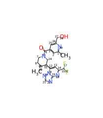 Cc1cc(C(=O)N2CC[C@@H](C)[C@H](c3cc(C(F)F)nc4ncnn34)C2)cc(CO)n1